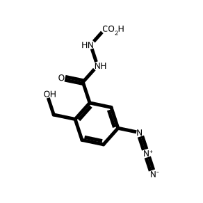 [N-]=[N+]=Nc1ccc(CO)c(C(=O)NNC(=O)O)c1